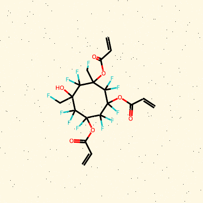 C=CC(=O)OC1(F)C(F)(F)C(O)(CF)C(F)(F)C(CF)(OC(=O)C=C)C(F)(F)C(F)(OC(=O)C=C)C1(F)F